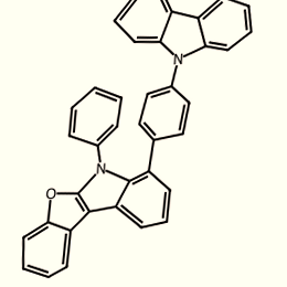 c1ccc(-n2c3oc4ccccc4c3c3cccc(-c4ccc(-n5c6ccccc6c6ccccc65)cc4)c32)cc1